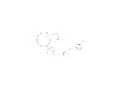 CC[C@H]1OC(=O)[C@H](C)[C@@H](C2C[C@@](C)(OC)[C@@H](O)[C@H](C)O2)[C@H](C)[C@@H](O[C@@H]2O[C@H](C)C[C@H](N(C)CCc3cn(CCOc4cccc(NC(C)=O)c4)nn3)[C@H]2O)[C@](C)(OC)C[C@@H](C)C(=O)[C@H](C)[C@@H](O)[C@]1(C)O